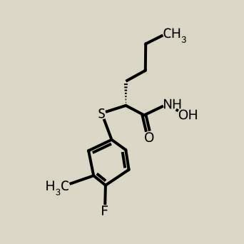 CCCC[C@@H](Sc1ccc(F)c(C)c1)C(=O)NO